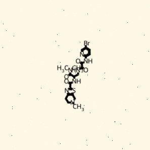 CN1CCc2nc(C(=O)NC(CNC(=O)C(=O)Nc3ccc(Br)cn3)C(=O)N(C)C)sc2C1